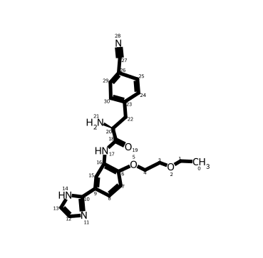 CCOCCOc1ccc(-c2ncc[nH]2)cc1NC(=O)[C@@H](N)Cc1ccc(C#N)cc1